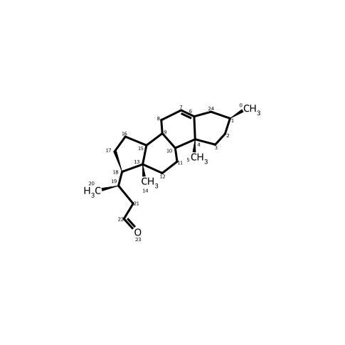 C[C@H]1CC[C@@]2(C)C(=CCC3C2CC[C@@]2(C)C3CC[C@@H]2[C@H](C)CC=O)C1